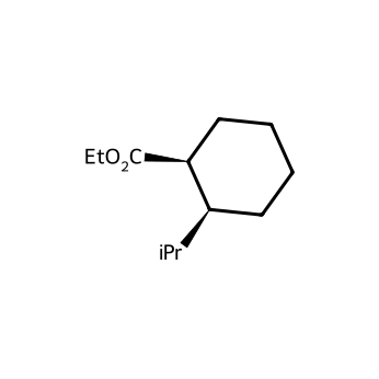 CCOC(=O)[C@H]1CCCC[C@H]1C(C)C